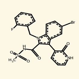 CS(=O)(=O)NC(=O)c1c(-c2ccc[nH]c2=O)c2cc(Br)ccc2n1Cc1ccccc1F